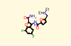 CCN(CC)Cc1ccc(C(=O)Nc2c(C(N)=O)oc3c(F)cc(F)cc23)o1